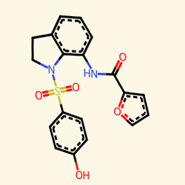 O=C(Nc1cccc2c1N(S(=O)(=O)c1ccc(O)cc1)CC2)c1ccco1